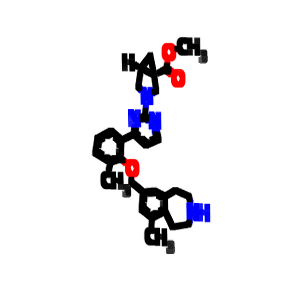 COC(=O)[C@]12C[C@H]1CN(c1nccc(-c3cccc(C)c3OCc3cc(C)c4c(c3)CCNCC4)n1)C2